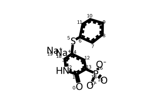 O=c1[nH]cc(Sc2ccccc2)cc1P(=O)([O-])[O-].[Na+].[Na+]